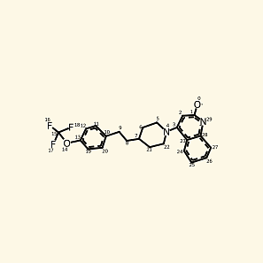 [O]c1cc(N2CCC(CCc3ccc(OC(F)(F)F)cc3)CC2)c2ccccc2n1